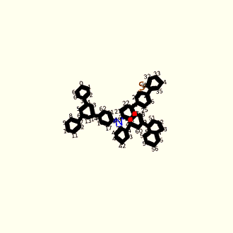 c1ccc(-c2cc(-c3ccccc3)cc(-c3ccc(N(c4ccc(-c5ccc6c(c5)sc5ccccc56)cc4)c4ccccc4-c4cccc(-c5cccc6ccccc56)c4)cc3)c2)cc1